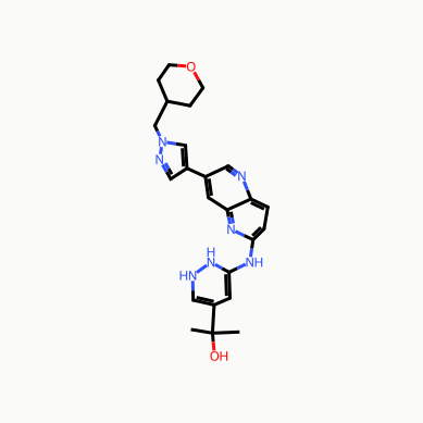 CC(C)(O)C1=CNNC(Nc2ccc3ncc(-c4cnn(CC5CCOCC5)c4)cc3n2)=C1